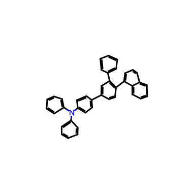 c1ccc(-c2cc(-c3ccc(N(c4ccccc4)c4ccccc4)cc3)ccc2-c2cccc3ccccc23)cc1